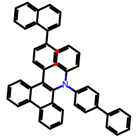 c1ccc(-c2ccc(N(c3ccccc3)c3c(-c4ccc(-c5cccc6ccccc56)cc4)c4ccccc4c4ccccc34)cc2)cc1